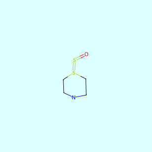 O=S=S1CC[N]CC1